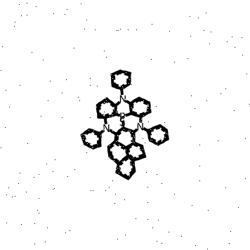 S=P12c3c4cccc3N(c3ccccc3)c3c1c(c1ccc5cccc6ccc3c1c65)N(c1ccccc1)c1cccc(c12)N4c1ccccc1